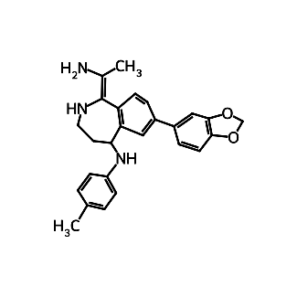 C/C(N)=C1/NCCC(Nc2ccc(C)cc2)c2cc(-c3ccc4c(c3)OCO4)ccc21